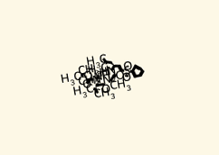 CC(C)C[C@@H](C=CS(=O)(=O)c1ccccc1)NC(=O)[C@H](C)NC(=O)[C@H](C(C)C)N(N)C(=O)OC(C)(C)C